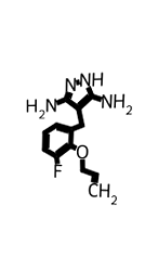 C=CCOc1c(F)cccc1Cc1c(N)n[nH]c1N